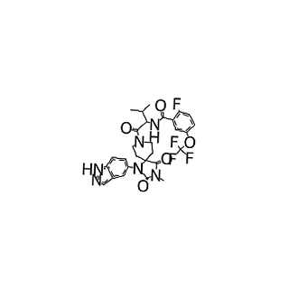 CC(C)C(NC(=O)c1cc(OC(F)(F)F)ccc1F)C(=O)N1CCC2(CC1)C(=O)N(C)C(=O)N2c1ccc2[nH]ncc2c1